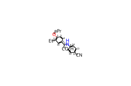 CCCOc1ccc(C(Nc2ccc(C#N)cc2)C(=O)O)cc1CC